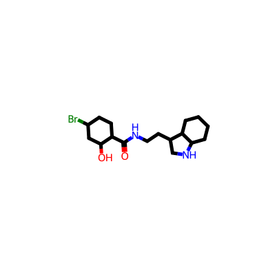 O=C(NCCC1CNC2CCCCC12)C1CCC(Br)CC1O